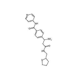 NC(CC(=O)NCC1CCCO1)c1ccc(C(=O)Nc2ccncc2)cc1